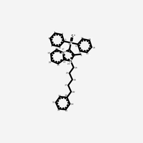 Cc1c(P(=S)(c2ccccc2)c2ccccc2)[n+]2ccccc2n1CCCCCc1ccccc1